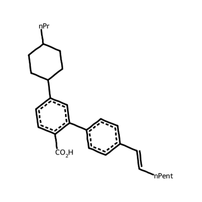 CCCCCC=Cc1ccc(-c2cc(C3CCC(CCC)CC3)ccc2C(=O)O)cc1